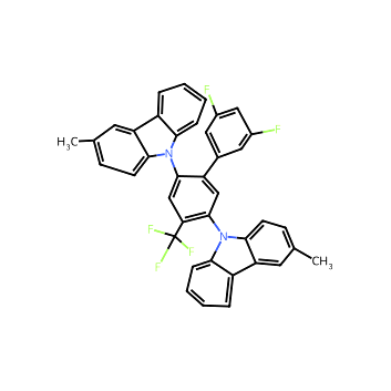 Cc1ccc2c(c1)c1ccccc1n2-c1cc(C(F)(F)F)c(-n2c3ccccc3c3cc(C)ccc32)cc1-c1cc(F)cc(F)c1